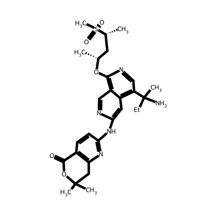 CCC(C)(N)c1cnc(O[C@H](C)C[C@@H](C)S(C)(=O)=O)c2cnc(Nc3ccc4c(n3)CC(C)(C)OC4=O)cc12